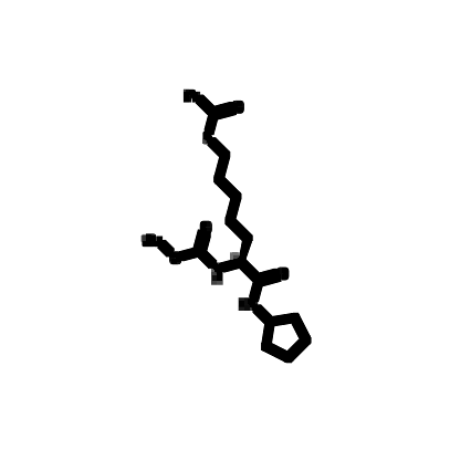 CC(C)C(=O)SCCCCC[C@H](NC(=O)OC(C)(C)C)C(=O)NC1CCCC1